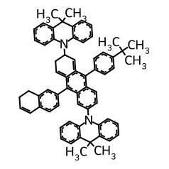 CC(C)(C)c1ccc(-c2c3c(c(-c4ccc5c(c4)CCC=C5)c4cc(N5c6ccccc6C(C)(C)c6ccccc65)ccc24)=CCC(N2c4ccccc4C(C)(C)c4ccccc42)C=3)cc1